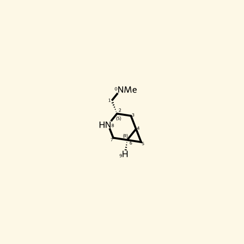 CNC[C@@H]1CC2C[C@H]2CN1